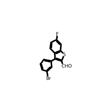 O=Cc1sc2cc(F)ccc2c1-c1cccc(Br)c1